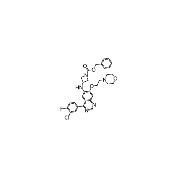 O=C(OCc1ccccc1)N1CC(Nc2cc3c(-c4ccc(F)c(Cl)c4)ncnc3cc2OCCN2CCOCC2)C1